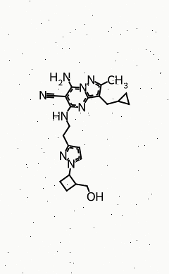 Cc1nn2c(N)c(C#N)c(NCCc3ccn(C4CCC4CO)n3)nc2c1CC1CC1